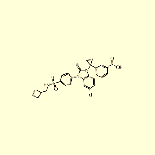 O=C(O)c1cccc(C2(n3c(=O)n(-c4ccc(S(=O)(=O)NCC5CCC5)cc4)c4cc(Cl)ccc43)CC2)c1